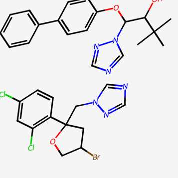 CC(C)(C)C(O)C(Oc1ccc(-c2ccccc2)cc1)n1cncn1.Clc1ccc(C2(Cn3cncn3)CC(Br)CO2)c(Cl)c1